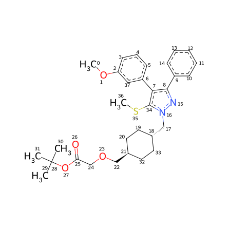 COc1cccc(-c2c(-c3ccccc3)nn(C[C@H]3CC[C@H](COCC(=O)OC(C)(C)C)CC3)c2SC)c1